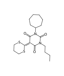 CCCCN1C(=O)C(=C2SCCCS2)C(=O)N(C2CCCCCC2)C1=O